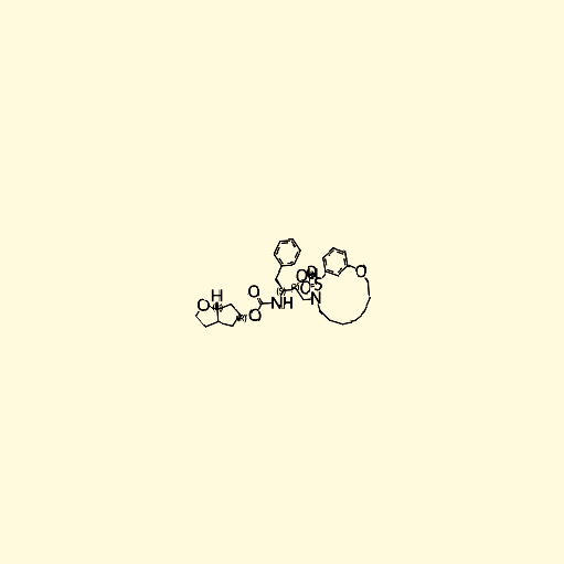 O=C(N[C@@H](Cc1ccccc1)[C@H](O)CN1CCCCCCCOc2cccc(c2)S1(=O)=O)O[C@@H]1CC2CCO[C@@H]2C1